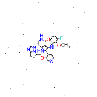 COc1c(F)cccc1Nc1c(-c2ccncc2OCC2CCc3ncnn32)[nH]c2c1C(=O)NCC2